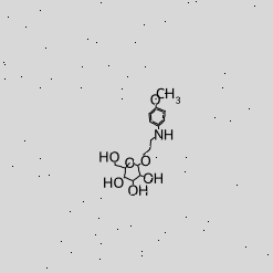 COc1ccc(NCCCOC2OC(CO)C(O)C(O)C2O)cc1